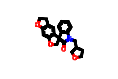 O=C1N(CC2CCOC2)c2ccccc2C12COc1cc3c(cc12)CCO3